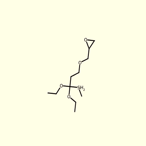 CCOC(CCOCC1CO1)(OCC)[SiH2]C